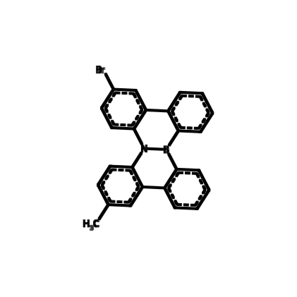 Cc1ccc2c(c1)-c1ccccc1B1c3ccccc3-c3cc(Br)ccc3N12